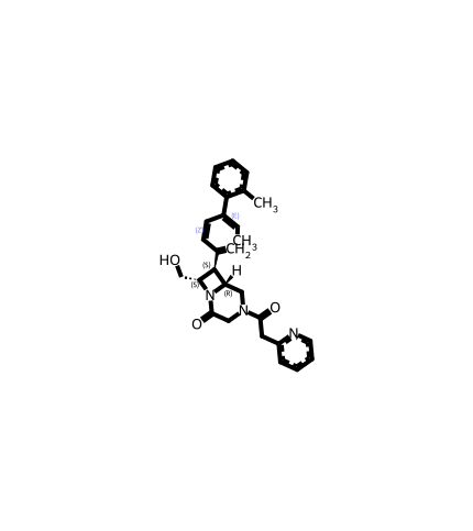 C=C(/C=C\C(=C/C)c1ccccc1C)[C@@H]1[C@@H](CO)N2C(=O)CN(C(=O)Cc3ccccn3)C[C@@H]12